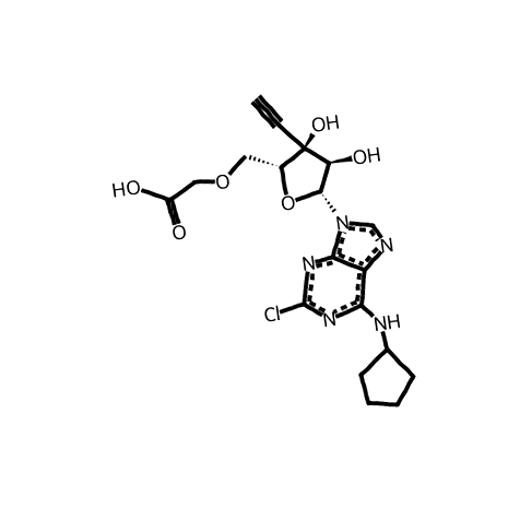 C#C[C@@]1(O)[C@@H](COCC(=O)O)O[C@@H](n2cnc3c(NC4CCCC4)nc(Cl)nc32)[C@@H]1O